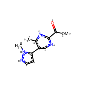 COC(=O)c1ncc(-c2ccnn2C)c(C)n1